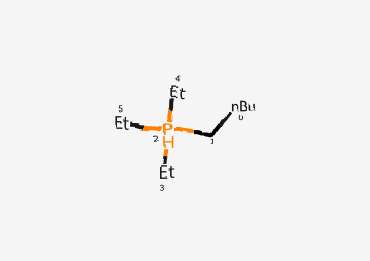 CCCCC[PH](CC)(CC)CC